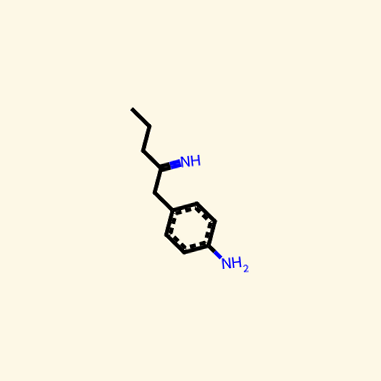 CCCC(=N)Cc1ccc(N)cc1